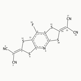 N#CC(C#N)=C1Sc2nc3c(c(F)c2S1)SC(=C(C#N)C#N)S3